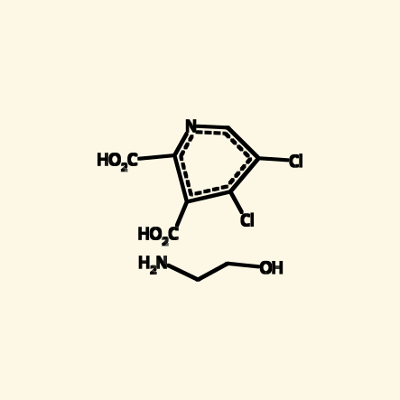 NCCO.O=C(O)c1ncc(Cl)c(Cl)c1C(=O)O